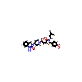 COc1ccc(C2SC(CC(=O)N3CCC(N4Cc5ccccc5NC4=O)CC3)C(=O)N2CCC(C)C)cc1